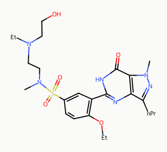 CCCc1nn(C)c2c(=O)[nH]c(-c3cc(S(=O)(=O)N(C)CCN(CC)CCO)ccc3OCC)nc12